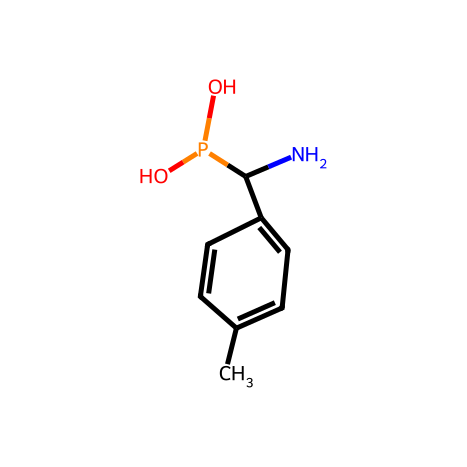 Cc1ccc(C(N)P(O)O)cc1